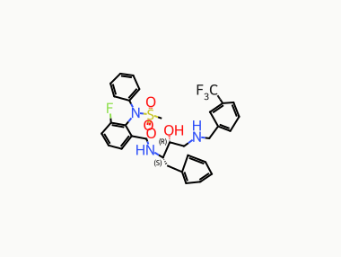 CS(=O)(=O)N(c1ccccc1)c1c(F)cccc1C(=O)N[C@@H](Cc1ccccc1)[C@H](O)CNCc1cccc(C(F)(F)F)c1